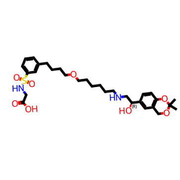 CC1(C)OCc2cc([C@@H](O)CNCCCCCCOCCCCc3cccc(S(=O)(=O)NCC(=O)O)c3)ccc2O1